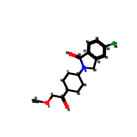 CC(C)(C)OCC(=O)C1CCC(N2Cc3cc(Br)ccc3C2=O)CC1